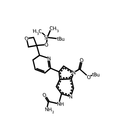 CC(C)(C)OC(=O)n1cc(C2=NC(C3(O[Si](C)(C)C(C)(C)C)COC3)CC=C2)c2cc(NC(N)=O)ncc21